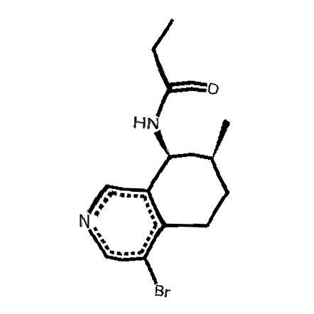 CCC(=O)N[C@@H]1c2cncc(Br)c2CC[C@@H]1C